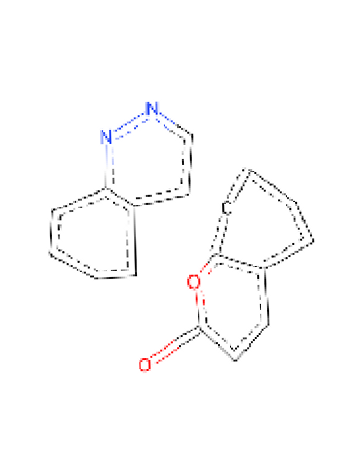 O=c1ccc2ccccc2o1.c1ccc2nnccc2c1